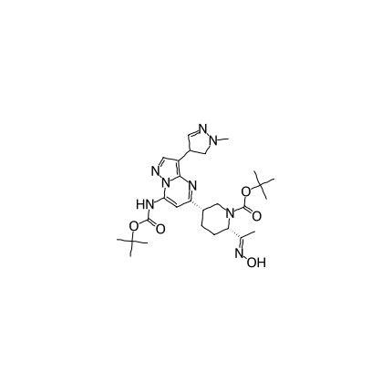 C/C(=N\O)[C@@H]1CC[C@H](c2cc(NC(=O)OC(C)(C)C)n3ncc(C4C=NN(C)C4)c3n2)CN1C(=O)OC(C)(C)C